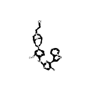 COc1cc(N2CC3CN(CCO)CC(C2)O3)ccc1Nc1ncc(F)c(-c2cnn3ccccc23)n1